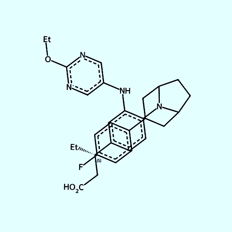 CCOc1ncc(Nc2cc([C@@H](CC)CC(=O)O)ccc2N2C3CCC2CC(c2ccc(F)cc2)C3)cn1